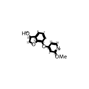 COc1cc(Oc2cccc3c2OC[C@H]3O)ccn1